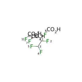 CCC(F)C(F)F.O=C(O)F.O=C(O)F.O=C(O)F